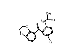 O=C(O)Nc1ccc(Cl)cc1C(=O)c1cccc2c1OCCO2